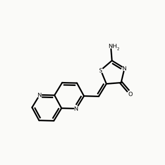 NC1=NC(=O)/C(=C/c2ccc3ncccc3n2)S1